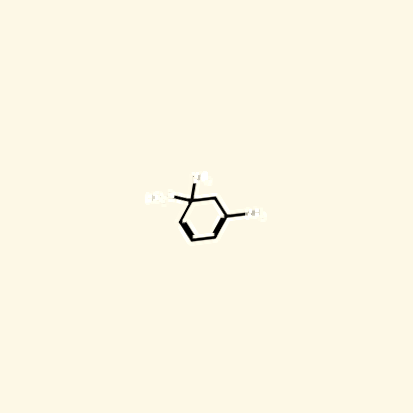 NC1=CC=CC(N)(C(=O)O)C1